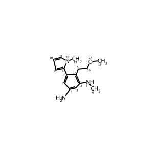 CNc1cc(N)cc(-c2cccn2C)c1CCOC